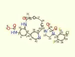 COC(=O)Nc1ccc2c(c1)NC(=O)[C@H](C)CCCC[C@H](N1CCN(c3c(F)ccc(Cl)c3F)C(=O)C1=O)c1cc-2ccn1